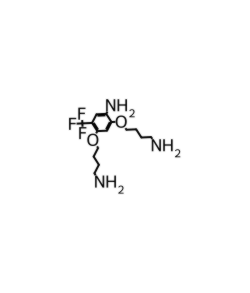 NCCCCOc1cc(OCCCCN)c(C(F)(F)F)cc1N